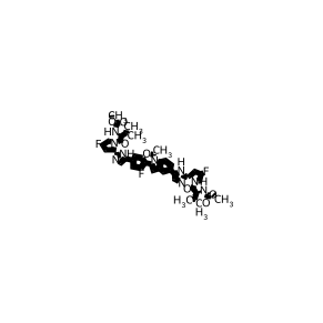 COC(=O)N[C@H](C(=O)N1CC(F)C[C@H]1c1ncc(-c2ccc3c(c2)cc2n3C(C)Oc3cc(-c4cnc([C@@H]5C[C@@H](F)CN5C(=O)[C@@H](NC(=O)OC)C(C)C)[nH]4)cc(F)c3-2)[nH]1)C(C)C